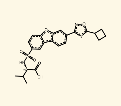 CC(C)[C@@H](NS(=O)(=O)c1ccc2oc3cc(-c4noc(C5CCC5)n4)ccc3c2c1)C(=O)O